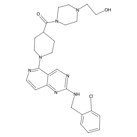 O=C(C1CCN(c2nccc3nc(NCc4ccccc4Cl)ncc23)CC1)N1CCN(CCO)CC1